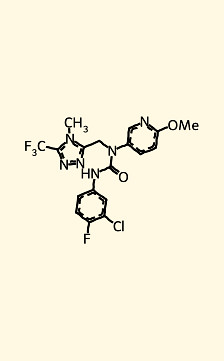 COc1ccc(N(Cc2nnc(C(F)(F)F)n2C)C(=O)Nc2ccc(F)c(Cl)c2)cn1